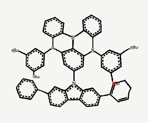 CC(C)(C)c1cc(N2c3ccccc3B3c4ccccc4N(c4cc(C(C)(C)C)cc(C(C)(C)C)c4)c4cc(-n5c6cc(C7=CCCC=C7)ccc6c6ccc(-c7ccccc7)cc65)cc2c43)cc(C(C)(C)C)c1